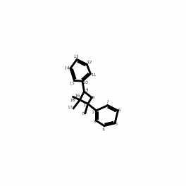 CC1(c2ccccc2)CC(c2ccccc2)C1(C)C